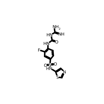 N=C(N)NC(=O)Nc1ccc(S(=O)(=O)Nc2cncs2)cc1F